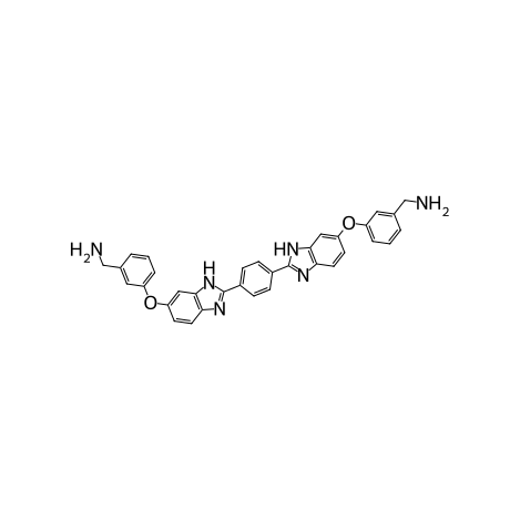 NCc1cccc(Oc2ccc3nc(-c4ccc(-c5nc6ccc(Oc7cccc(CN)c7)cc6[nH]5)cc4)[nH]c3c2)c1